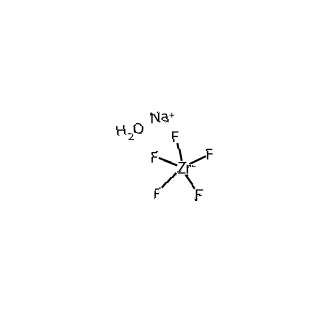 O.[F][Zr-]([F])([F])([F])[F].[Na+]